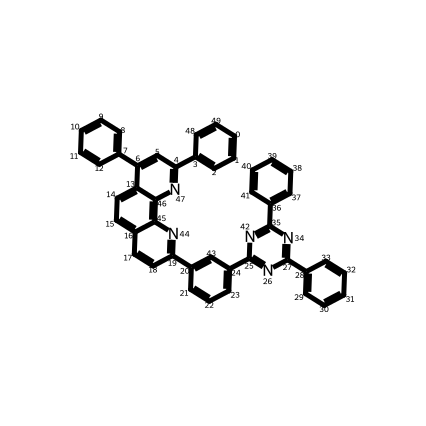 c1ccc(-c2cc(-c3ccccc3)c3ccc4ccc(-c5cccc(-c6nc(-c7ccccc7)nc(-c7ccccc7)n6)c5)nc4c3n2)cc1